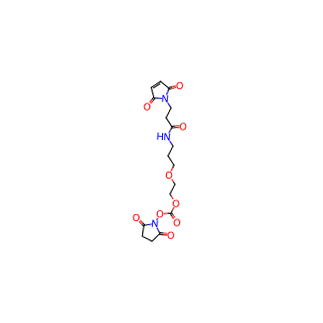 O=C(CCN1C(=O)C=CC1=O)NCCCOCCOC(=O)ON1C(=O)CCC1=O